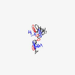 CC1=C(C(N)=O)C(=O)[N+](c2ccccc2)(c2ccc(Oc3ccnc(NC(=O)C4CC4)c3)cn2)N1C